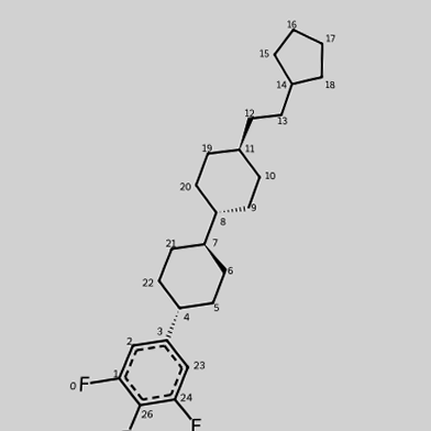 Fc1cc([C@H]2CC[C@H]([C@H]3CC[C@H](CCC4CCCC4)CC3)CC2)cc(F)c1F